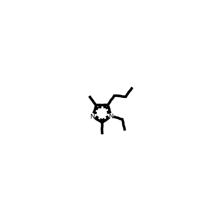 CCCc1c(C)nc(C)n1CC